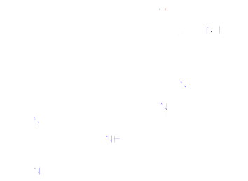 NC(=O)c1cc(-c2cc3ncncc3[nH]2)[nH]n1